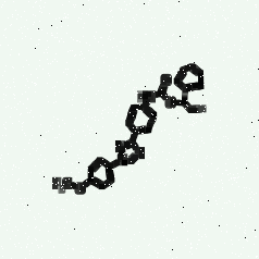 C=CC(OC(=O)Nc1ccc(-c2ncn(-c3ccc(OC(F)(F)F)cc3)n2)cc1)c1ccccc1